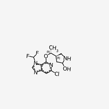 C[C@@H](Oc1nc(Cl)cc2ncn(C(F)F)c12)[C@H]1CNC(O)C1